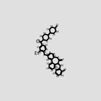 C=C1Cc2ccc(Cc3ccc(C(=O)C4CCC(C5CCC(C)CC5)CC4)cc3CC)cc2-c2ccccc2C1Cc1ccccc1C